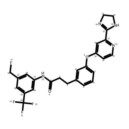 O=C(CCc1cccc(Oc2ccnc(C3=NCCN3)c2)c1)Nc1cc(CF)cc(C(F)(F)F)c1